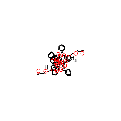 C[Si]1(CCCOCC2CO2)O[Si]2(c3ccccc3)O[Si]3(c4ccccc4)O[Si]4(c5ccccc5)O[Si](C)(CCCOCC5CO5)O[Si]5(c6ccccc6)O[Si](c6ccccc6)(O[Si](c6ccccc6)(O1)O[Si](c1ccccc1)(O5)O[Si](c1ccccc1)(O2)O4)O3